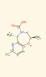 C[C@@H]1CN(C(=O)O)[C@@H](C)c2nc(Cl)ccc2O1